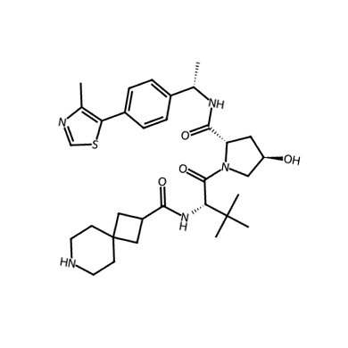 Cc1ncsc1-c1ccc([C@H](C)NC(=O)[C@@H]2C[C@@H](O)CN2C(=O)[C@@H](NC(=O)C2CC3(CCNCC3)C2)C(C)(C)C)cc1